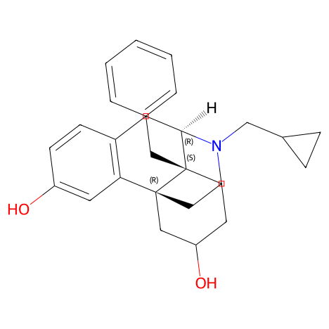 Oc1ccc2c(c1)[C@]13CCN(CC4CC4)[C@H](C2)[C@]1(Cc1ccccc1)CCC(O)C3